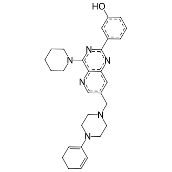 Oc1cccc(-c2nc(N3CCCCC3)c3ncc(CN4CCN(C5=CCCC=C5)CC4)cc3n2)c1